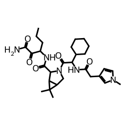 CCCC(NC(=O)C1C2C(CN1C(=O)C(NC(=O)Cc1ccn(C)c1)C1CCCCC1)C2(C)C)C(=O)C(N)=O